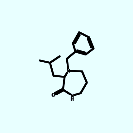 CC(C)CC1C(=O)NCCCN1Cc1ccccc1